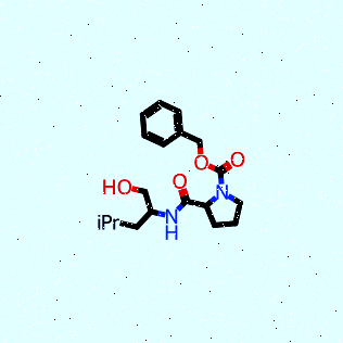 CC(C)CC(CO)NC(=O)C1CCCN1C(=O)OCc1ccccc1